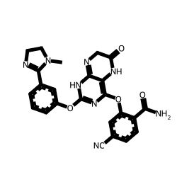 CN1CCN=C1c1cccc(OC2=NC(Oc3cc(C#N)ccc3C(N)=O)=C3NC(=O)CN=C3N2)c1